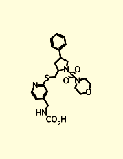 O=C(O)NCc1ccnc(SCC2CC(c3ccccc3)CN2S(=O)(=O)N2CCOCC2)c1